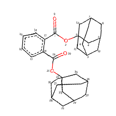 O=C(OC12CC3CC(CC(C3)C1)C2)c1ccccc1C(=O)OC12CC3CC(CC(C3)C1)C2